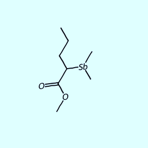 CCC[CH](C(=O)OC)[Sb]([CH3])[CH3]